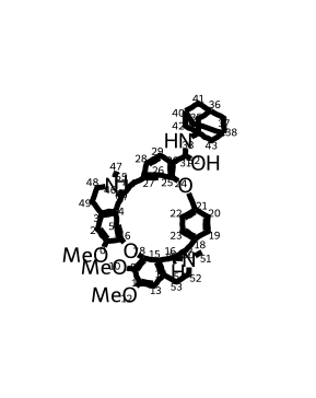 COc1cc2c3cc1Oc1c(OC)c(OC)cc4c1[C@H](Cc1ccc(cc1)Oc1cc(ccc1C(O)NC15CC6CC(CC(C6)C1)C5)C[C@H]3N(C)CC2)N(C)CC4